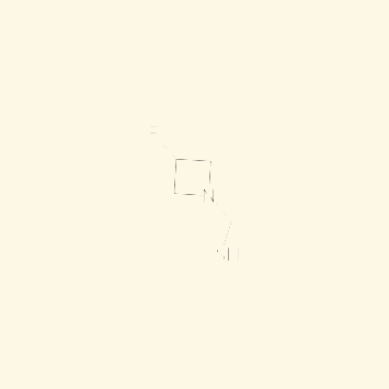 FC1CN(CS)C1